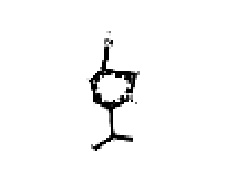 CC(C)c1ccc(Br)[c]n1